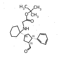 CC(C)(C)OC(=O)CNC1([C@@H]2C[C@H](c3ccccc3)[C@@H](C=O)C2)CCCCC1